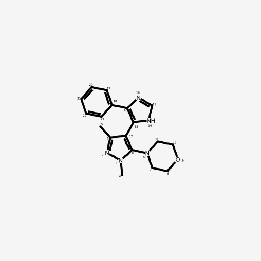 Cc1nn(C)c(N2CCOCC2)c1-c1[nH]cnc1-c1ccccc1